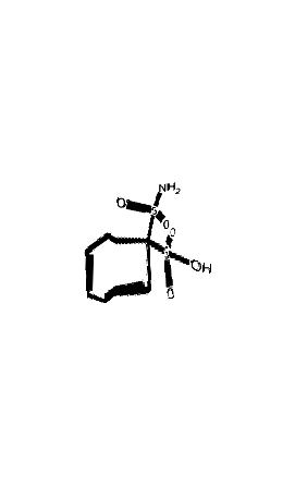 NS(=O)(=O)C1(S(=O)(=O)O)C=CC=CC1